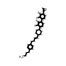 CCCCc1ccc(CC/C=C/C2CCC(c3ccc(-c4ccc(C5CO5)c(F)c4F)c(F)c3F)CC2)cc1